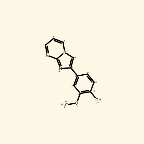 COc1cc(-c2cn3cccnc3n2)ccc1O